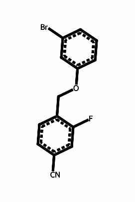 N#Cc1ccc(COc2cccc(Br)c2)c(F)c1